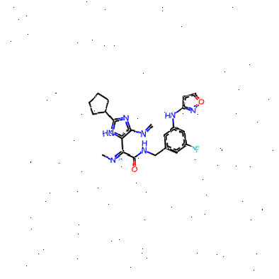 C=Nc1nc(C2CCCC2)[nH]c1/C(=N\C)C(=O)NCc1cc(F)cc(Nc2ccon2)c1